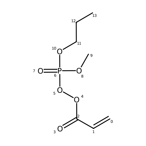 C=CC(=O)OOP(=O)(OC)OCCC